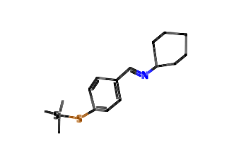 C[Si](C)(C)Sc1ccc(C=NC2CCCCC2)cc1